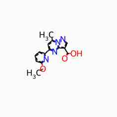 COc1cccc(-c2cc(C)n3ncc(C(=O)O)c3n2)n1